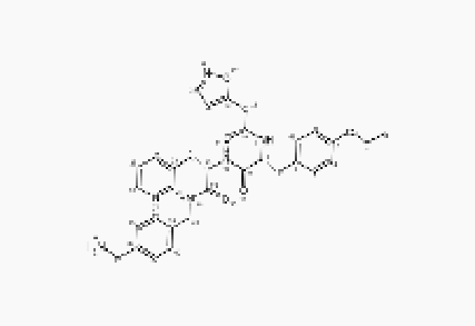 CCOc1ccc(C[C@@H](NC(=O)Oc2ccno2)C(=O)N[C@@H](Cc2cccnc2)C(=O)NCc2ccc(CN)cc2)cc1